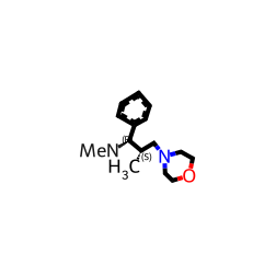 [CH2-][NH2+][C@@H](c1ccccc1)[C@@H](C)CN1CCOCC1